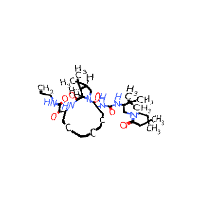 C=CCNC(=O)C(=O)[C@@H]1CCCCCCCCC[C@H](NC(=O)N[C@H](CN2CCC(C)(C)CC2=O)C(C)(C)C)C(=O)N2C[C@H]3[C@@H]([C@H]2C(=O)N1)C3(C)C